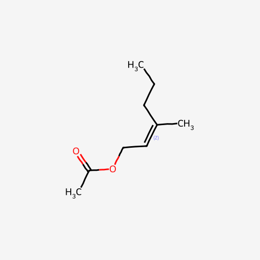 CCC/C(C)=C\COC(C)=O